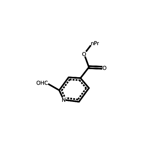 CCCOC(=O)c1ccnc(C=O)c1